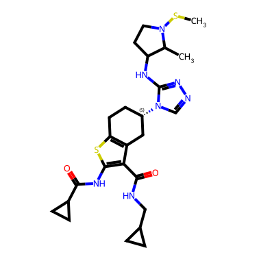 CSN1CCC(Nc2nncn2[C@H]2CCc3sc(NC(=O)C4CC4)c(C(=O)NCC4CC4)c3C2)C1C